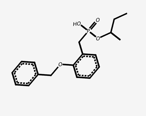 CCC(C)OP(=O)(O)Cc1ccccc1OCc1ccccc1